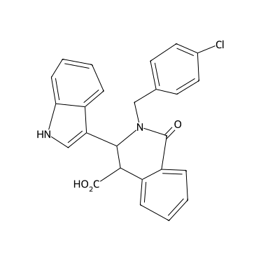 O=C(O)C1c2ccccc2C(=O)N(Cc2ccc(Cl)cc2)C1c1c[nH]c2ccccc12